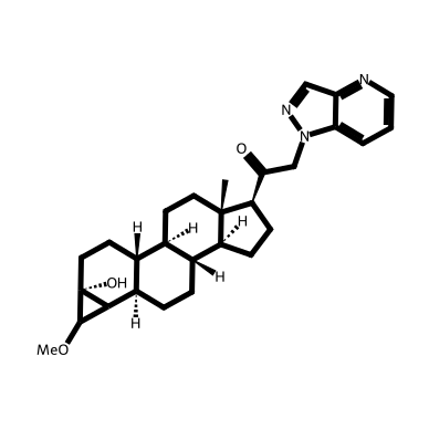 COC1C2[C@@H]3CC[C@@H]4[C@H](CC[C@]5(C)[C@@H](C(=O)Cn6ncc7ncccc76)CC[C@@H]45)[C@H]3CC[C@]12O